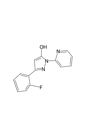 Oc1cc(-c2ccccc2F)nn1-c1ccccn1